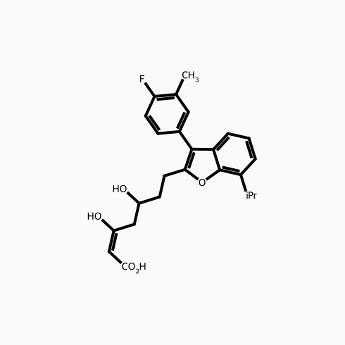 Cc1cc(-c2c(CCC(O)C/C(O)=C\C(=O)O)oc3c(C(C)C)cccc23)ccc1F